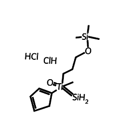 C[Si](C)(C)OCC[CH2][Ti]([CH3])(=[O])(=[SiH2])[C]1=CC=CC1.Cl.Cl